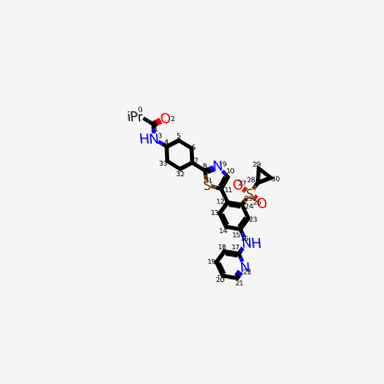 CC(C)C(=O)NC1CCC(c2ncc(-c3ccc(Nc4cc[c]cn4)cc3S(=O)(=O)C3CC3)s2)CC1